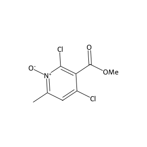 COC(=O)c1c(Cl)cc(C)[n+]([O-])c1Cl